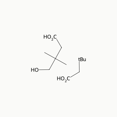 CC(C)(C)CC(=O)O.CC(C)(CO)CC(=O)O